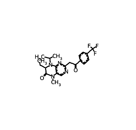 CCC1C(=O)N(C)c2cnc(CC(=O)c3ccc(C(F)(F)F)cc3)nc2N1C(C)C